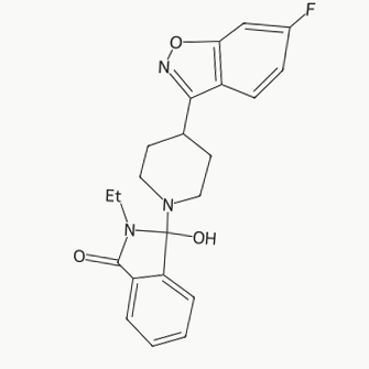 CCN1C(=O)c2ccccc2C1(O)N1CCC(c2noc3cc(F)ccc23)CC1